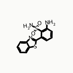 Nc1cccc(-c2nc3ccccc3s2)c1S(N)(=O)=O